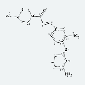 CC(=O)N1CCN(C(=O)/C=C/c2ccc(Sc3cccc(N)c3)c([N+](=O)[O-])c2)CC1